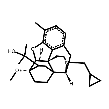 CO[C@@]12CCC3(C[C@@H]1C(C)(C)O)[C@H]1Cc4ccc(C)c5c4[C@@]3(CCN1CC1CC1)C2O5